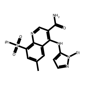 CCn1nccc1Nc1c(C(N)=O)cnc2c(S(=O)(=O)C(C)C)cc(C)cc12